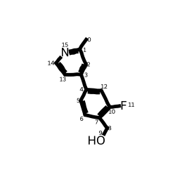 Cc1cc(-c2ccc(CO)c(F)c2)ccn1